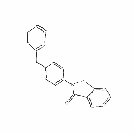 O=c1c2ccccc2sn1-c1ccc(Cc2ccccc2)cc1